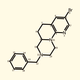 Brc1cnc2c(c1)CCC1CN(Cc3ccccc3)CCN21